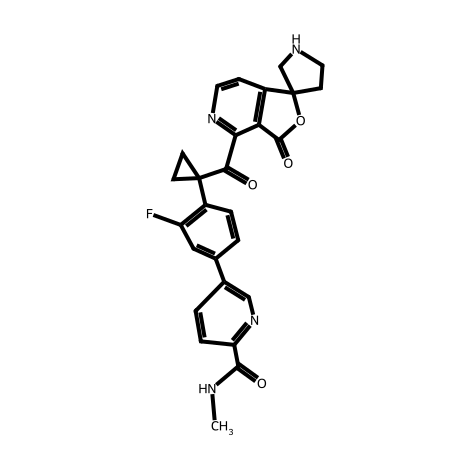 CNC(=O)c1ccc(-c2ccc(C3(C(=O)c4nccc5c4C(=O)OC54CCNC4)CC3)c(F)c2)cn1